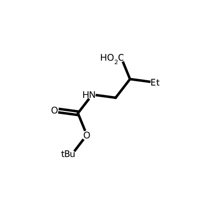 CCC(CNC(=O)OC(C)(C)C)C(=O)O